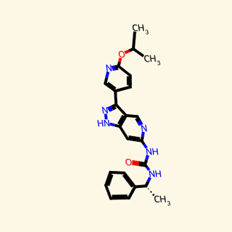 CC(C)Oc1ccc(-c2n[nH]c3cc(NC(=O)N[C@H](C)c4ccccc4)ncc23)cn1